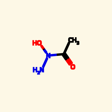 CC(=O)N(N)O